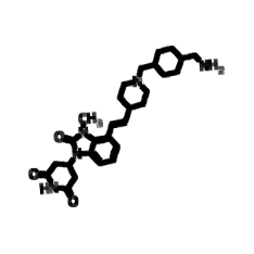 Cn1c(=O)n(C2CC(=O)NC(=O)C2)c2cccc(C=CC3CCN(CC4CCC(CN)CC4)CC3)c21